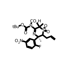 C=CCC1[C@@](C)(c2cc([N+](=O)[O-])ccc2F)N=C(N(C(=O)O)C(=O)OC(C)(C)C)C(C)(C)S1(=O)=O